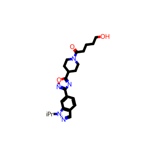 CC(C)n1ncc2ccc(-c3noc(C4CCN(C(=O)CCCCO)CC4)n3)cc21